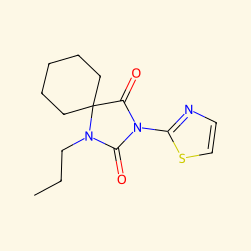 CCCN1C(=O)N(c2nccs2)C(=O)C12CCCCC2